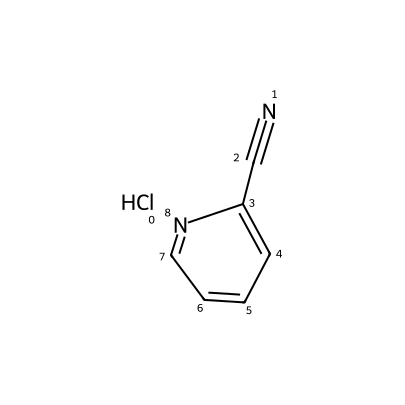 Cl.N#Cc1ccccn1